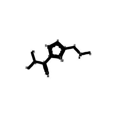 CSCc1cnc(C(=O)C(C)C)o1